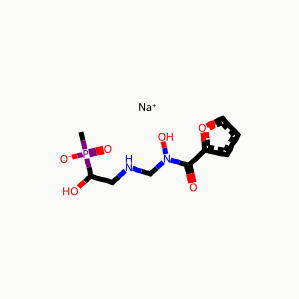 CP(=O)([O-])C(O)CNCN(O)C(=O)c1ccco1.[Na+]